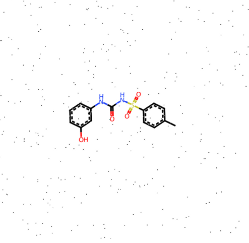 Cc1ccc(S(=O)(=O)NC(=O)Nc2cccc(O)c2)cc1